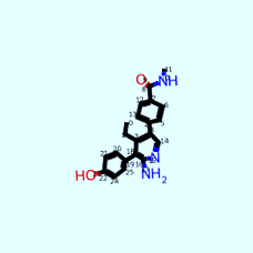 CCc1c(-c2ccc(C(=O)NC)cc2)cnc(N)c1-c1ccc(O)cc1